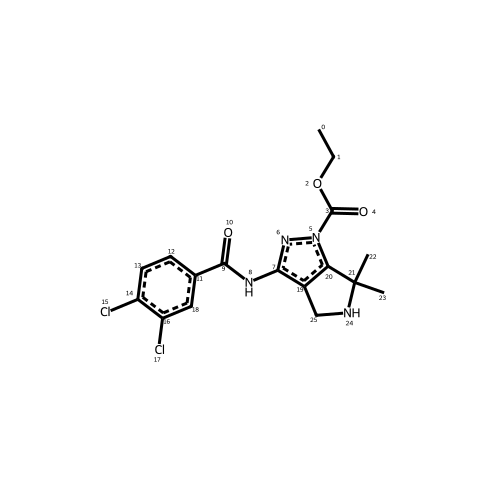 CCOC(=O)n1nc(NC(=O)c2ccc(Cl)c(Cl)c2)c2c1C(C)(C)NC2